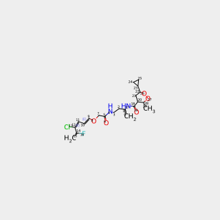 C=C(CCNC(=O)CO/C=C/C=C(/Cl)C(=C)F)NC(=O)C1CC(C2CC2)OOC1C